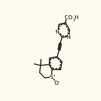 CC1(C)CC[S+]([O-])c2ccc(C#Cc3ncc(C(=O)O)cn3)cc21